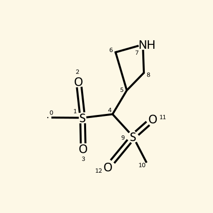 [CH2]S(=O)(=O)C(C1CNC1)S(C)(=O)=O